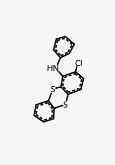 Clc1ccc2c(c1Nc1ccccc1)Sc1ccccc1S2